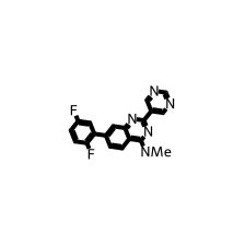 CNc1nc(-c2cncnc2)nc2cc(-c3cc(F)ccc3F)ccc12